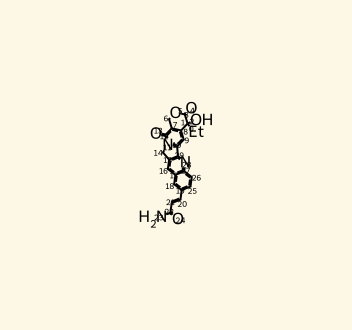 CCC1(O)C(=O)OCc2c1cc1n(c2=O)Cc2cc3cc(C=CC(N)=O)ccc3nc2-1